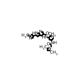 Cc1ncc(NC(=O)CN2C(C)CC2C)cc1NC(=O)c1cnc2[nH]c(-c3cnn(C)c3)cc2c1